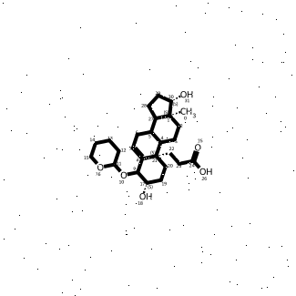 C[C@]12CCC3C(CC=C4C(OC5CCCCO5)[C@@H](O)CC[C@@]43CCC(=O)O)C1CC[C@@H]2O